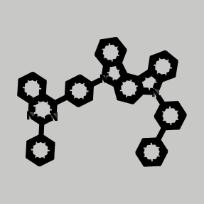 c1ccc(-c2cccc(-n3c4ccccc4c4c5c6ccccc6n(-c6ccc(-c7nc(-c8ccccc8)nc8ccccc78)cc6)c5ccc43)c2)cc1